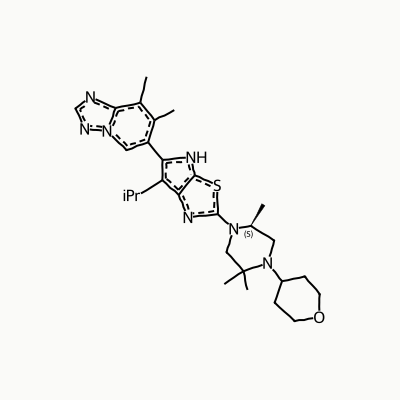 Cc1c(-c2[nH]c3sc(N4CC(C)(C)N(C5CCOCC5)C[C@@H]4C)nc3c2C(C)C)cn2ncnc2c1C